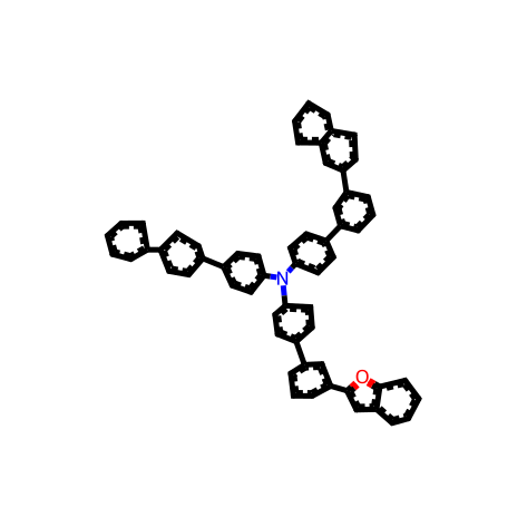 c1ccc(-c2ccc(-c3ccc(N(c4ccc(-c5cccc(-c6ccc7ccccc7c6)c5)cc4)c4ccc(-c5cccc(-c6cc7ccccc7o6)c5)cc4)cc3)cc2)cc1